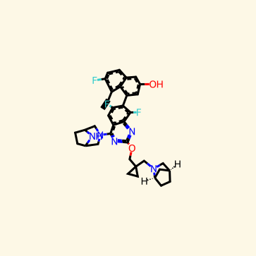 C#Cc1c(F)ccc2cc(O)cc(-c3c(F)cc4c(N5CC6CCC(C5)N6)nc(OCC5(CN6C[C@H]7CC[C@@H]6C7)CC5)nc4c3F)c12